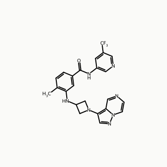 Cc1ccc(C(=O)Nc2cncc(C(F)(F)F)c2)cc1NC1CN(c2cnn3ccncc23)C1